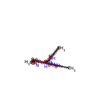 CCCCCCCCCCCCCCCC(=O)NCCOCCNC(=O)CC[C@H](NC(=O)CCOCCOCCNC(=O)CCN1C(=O)CC(C(C)C)C1=O)C(=O)NCCOCCNC(=O)CCCCCCCCCCCCCCC